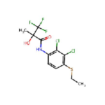 CCSc1ccc(NC(=O)C(C)(O)C(F)(F)F)c(Cl)c1Cl